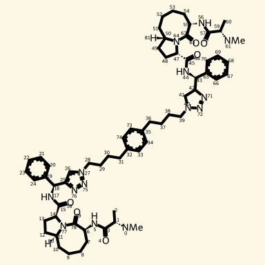 CN[C@@H](C)C(=O)N[C@H]1CCCC[C@H]2CC[C@@H](C(=O)N[C@@H](c3ccccc3)c3cn(CCCCc4ccc(CCCCN5CC([C@@H](NC(=O)[C@@H]6CC[C@@H]7CCCC[C@H](NC(=O)[C@H](C)NC)C(=O)N76)c6ccccc6)N=N5)cc4)nn3)N2C1=O